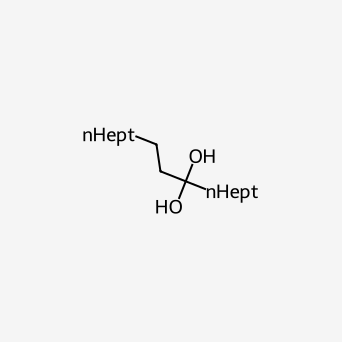 CCCCCCCCCC(O)(O)CCCCCCC